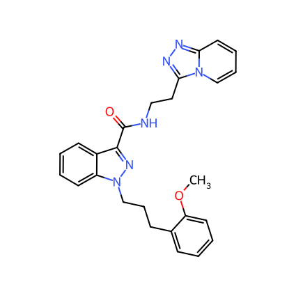 COc1ccccc1CCCn1nc(C(=O)NCCc2nnc3ccccn23)c2ccccc21